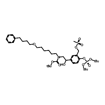 CC(C)(C)OC(=O)N(CCCCCCOCCCCc1ccccc1)CC(O)c1ccc(OP(=O)(OC(C)(C)C)OC(C)(C)C)c(COS(C)(=O)=O)c1